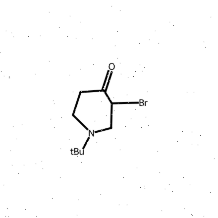 CC(C)(C)N1CCC(=O)C(Br)C1